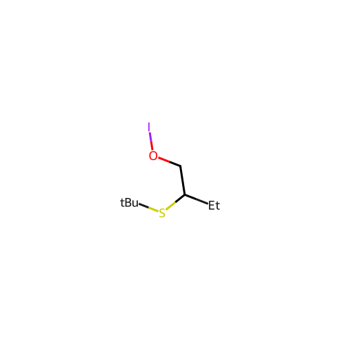 CCC(COI)SC(C)(C)C